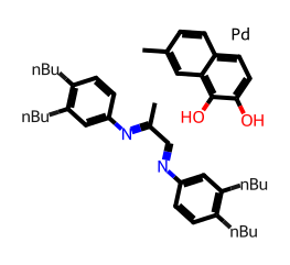 CCCCc1ccc(N=CC(C)=Nc2ccc(CCCC)c(CCCC)c2)cc1CCCC.Cc1ccc2ccc(O)c(O)c2c1.[Pd]